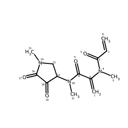 C=CC(=O)N(C)C(=C)C(=O)N(C)C1CN(C)C(=O)C1=O